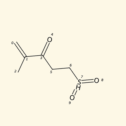 C=C(C)C(=O)CC[SH](=O)=O